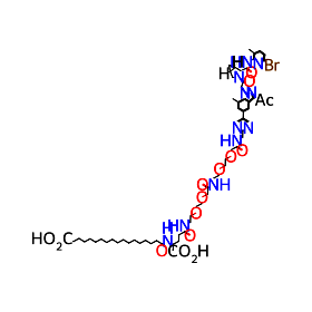 CC(=O)c1nn(CC(=O)N2C[C@H]3C[C@H]3[C@H]2C(=O)Nc2nc(Br)ccc2C)c2c(C)cc(-c3cnc(CNC(=O)COCCOCCNC(=O)COCCOCCNC(=O)CC[C@H](NC(=O)CCCCCCCCCCCCCCCCC(=O)O)C(=O)O)nc3)cc12